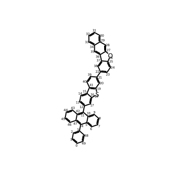 c1ccc(-c2c3ccccc3c(-c3ccc4c(c3)sc3cc(-c5ccc6oc7cc8ccccc8cc7c6c5)ccc34)c3ccccc23)cc1